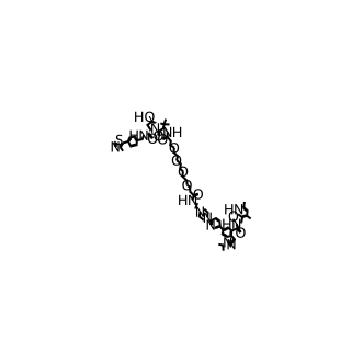 Cc1cc(C)c(CNC(=O)c2cc(-c3ccc(N4CCN(CCNC(=O)CCOCCOCCOCCOCCC(=O)N[C@H](C(=O)N5C[C@H](O)C[C@H]5C(=O)NCc5ccc(-c6scnc6C)cc5)C(C)(C)C)CC4)nc3)cc3c2cnn3C(C)C)c(=O)[nH]1